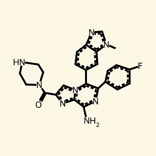 Cn1cnc2ccc(-c3c(-c4ccc(F)cc4)nc(N)c4nc(C(=O)N5CCNCC5)cn34)cc21